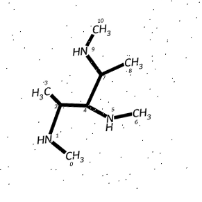 CNC(C)C(NC)C(C)NC